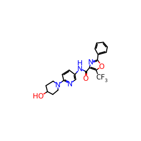 O=C(Nc1ccc(N2CCC(O)CC2)nc1)c1nc(-c2ccccc2)oc1C(F)(F)F